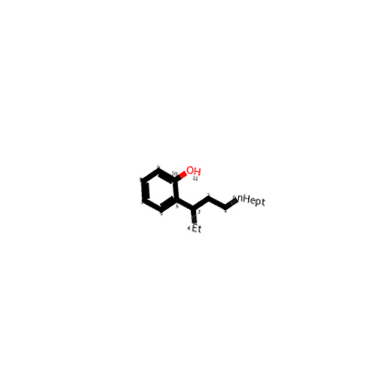 CCCCCCCCCC(CC)c1ccccc1O